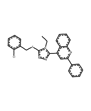 CCn1c(SCc2ccccc2Cl)nnc1-c1cc(-c2ccccc2)nc2ccccc12